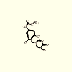 CC(C)c1cn(Cc2c(Cl)cc(NC(=O)OC(C)(C)C)cc2Cl)cnc1=O